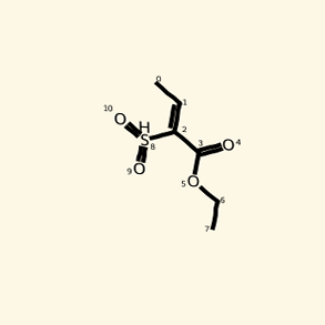 CC=C(C(=O)OCC)[SH](=O)=O